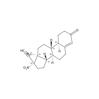 C#C[C@]1([N+](=O)[O-])CC[C@H]2[C@@H]3CCC4=CC(=O)CC[C@@H]4[C@H]3CC[C@@]21C